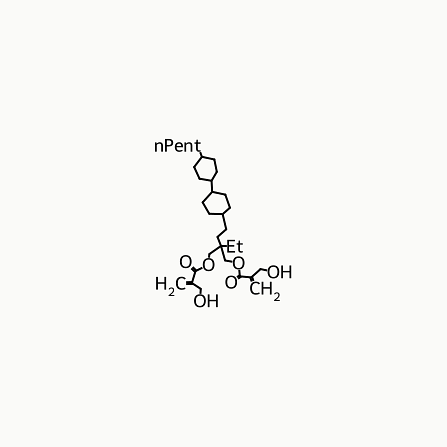 C=C(CO)C(=O)OCC(CC)(CCC1CCC(C2CCC(CCCCC)CC2)CC1)COC(=O)C(=C)CO